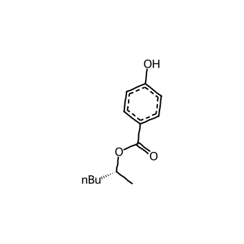 CCCC[C@@H](C)OC(=O)c1ccc(O)cc1